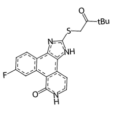 CC(C)(C)C(=O)CSc1nc2c3ccc(F)cc3c3c(=O)[nH]ccc3c2[nH]1